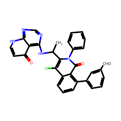 CC(Nc1ncnc2[nH]ccc(=O)c12)c1c(Cl)c2cccc(-c3cccc(C=O)c3)c2c(=O)n1-c1ccccc1